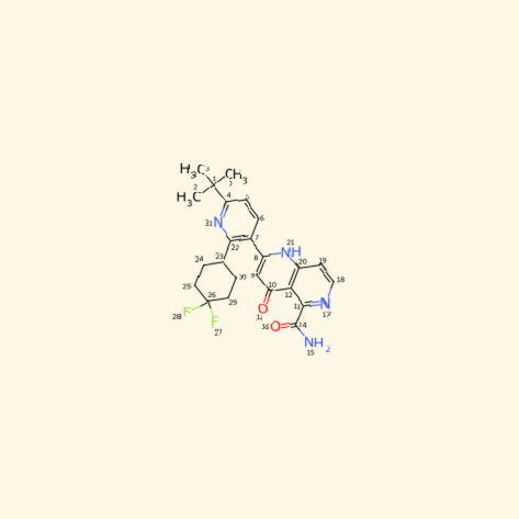 CC(C)(C)c1ccc(-c2cc(=O)c3c(C(N)=O)nccc3[nH]2)c(C2CCC(F)(F)CC2)n1